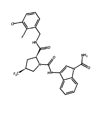 NC(=O)n1cc(NC(=O)N2C[C@@H](C(F)(F)F)C[C@H]2C(=O)NCc2cccc(Cl)c2F)c2ccccc21